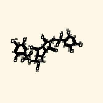 O=C1C2C(=O)N(OS(=O)(=O)c3cc(Cl)c(Cl)cc3Cl)C(=O)C2C2C[N+](=O)C(OS(=O)(=O)c3cc(Cl)c(Cl)cc3Cl)C12